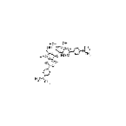 CN(C)c1ccc(C(=O)N[C@@H]2[C@@H](O)[C@@H](CO)O[C@@H](S[C@@H]3O[C@H](CO)[C@H](O)[C@@H](NC(=O)c4ccc(N(C)C)cc4)[C@H]3O)[C@@H]2O)cc1